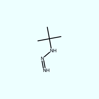 CC(C)(C)NN=N